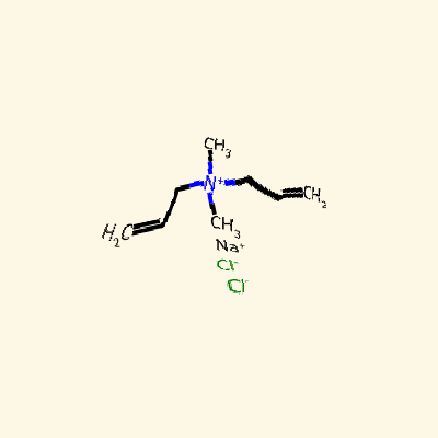 C=CC[N+](C)(C)CC=C.[Cl-].[Cl-].[Na+]